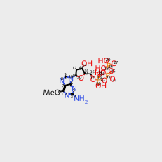 COc1nc(N)nc2c1ncn2[C@H]1C[C@H](O)[C@@H](COP(=O)(O)OP(=O)(O)OP(=O)(O)O)O1